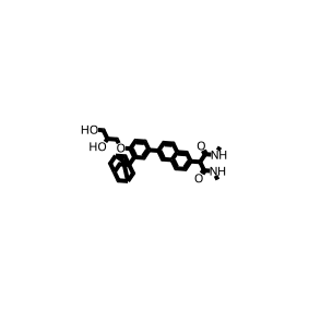 CNC(=O)C(C(=O)NC)c1ccc2cc(-c3ccc(OCC(O)CO)c(C45CC6CC(CC(C6)C4)C5)c3)ccc2c1